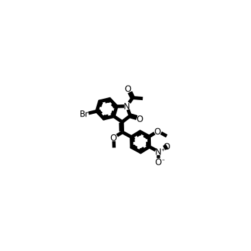 COC(=C1C(=O)N(C(C)=O)c2ccc(Br)cc21)c1ccc([N+](=O)[O-])c(OC)c1